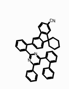 N#Cc1ccc2c(c1)C1(CCCCC1)c1ccc(-c3ccccc3-c3nc(-c4ccccc4)cc(-c4ccccc4-c4ccccc4)n3)cc1-2